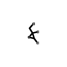 ClCC1(Cl)OC1Cl